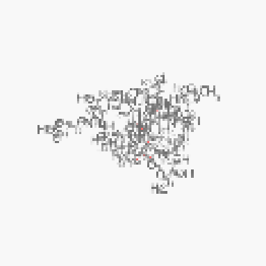 CN[C@H](CC(C)C)C(=O)N[C@H]1C(=O)N[C@@H](CC(N)=O)C(=O)N[C@H]2C(=O)N[C@H]3C(=O)N[C@H](C(=O)N[C@@H](C(=O)NOCCCS(=O)(=O)O)c4cc(O)cc(O)c4-c4cc3ccc4O)[C@H](O)c3ccc(c(Cl)c3)Oc3cc2cc(c3O[C@@H]2O[C@H](CO)[C@@H](O)[C@H](O)[C@H]2O[C@H]2C[C@](C)(NCc3cncc(C(=O)Nc4cc(Cl)cc(Cl)c4)c3)[C@H](O)[C@H](C)O2)Oc2ccc(cc2Cl)[C@H]1O